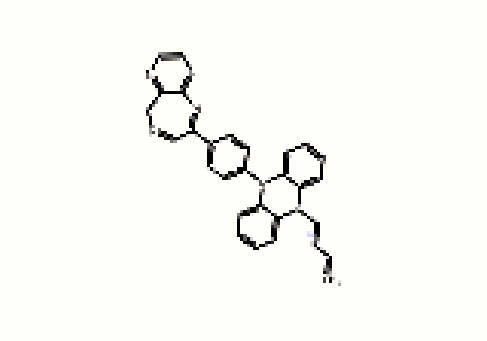 C=C/C=C/N1c2ccccc2N(c2ccc(C3=Nc4nccnc4CN=C3)cc2)c2ccccc21